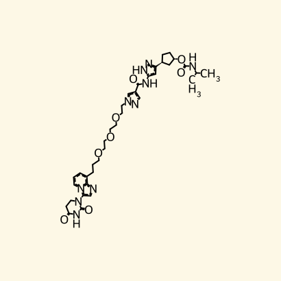 CC(C)NC(=O)O[C@@H]1CC[C@H](c2cc(NC(=O)c3cnn(CCOCCOCCOCCCc4cccn5c(N6CCC(=O)NC6=O)cnc45)c3)[nH]n2)C1